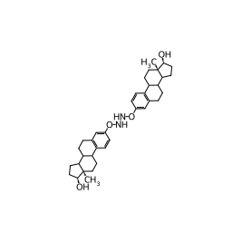 C[C@]12CCC3c4ccc(ONNOc5ccc6c(c5)CCC5C6CC[C@@]6(C)C5CC[C@@H]6O)cc4CCC3C1CC[C@@H]2O